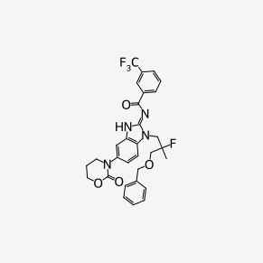 CC(F)(COCc1ccccc1)Cn1/c(=N/C(=O)c2cccc(C(F)(F)F)c2)[nH]c2cc(N3CCCOC3=O)ccc21